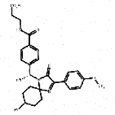 CCC[C@H](c1ccc(C(=O)NCCC(=O)O)cc1)N1C(=O)C(c2ccc(OC(F)(F)F)cc2)=NC12CCC(C(C)C)CC2